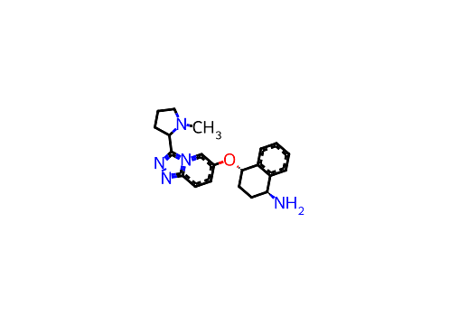 CN1CCCC1c1nnc2ccc(O[C@H]3CC[C@H](N)c4ccccc43)cn12